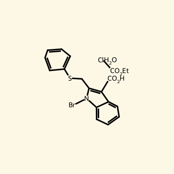 CCOC(=O)Cl.O.O=C(O)c1c(CSc2ccccc2)n(Br)c2ccccc12